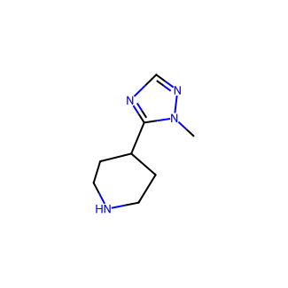 Cn1ncnc1C1CCNCC1